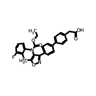 CCOC(=O)N(c1cccc(F)c1F)c1c(-c2ccc(-c3ccc(CC(=O)O)cc3)cc2)noc1C